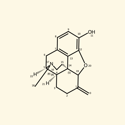 C=C1CC[C@H]2[C@H]3Cc4ccc(O)c5c4[C@@]2(CCN3C)C1O5